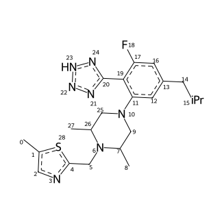 Cc1cnc(CN2C(C)CN(c3cc(CC(C)C)cc(F)c3-c3nn[nH]n3)CC2C)s1